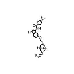 O=C(Nc1c[nH]c2ccc(OCC[C@@H]3C[C@@H]4CN(CC(F)(F)F)C[C@@H]4C3)cc12)C1CC2C(C1)C2(F)F